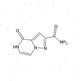 NC(=O)c1cc2c(=O)[nH]ccn2n1